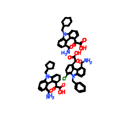 NC(=O)c1cccc2c1c1c(C(=O)C(=O)O)ccc(Cl)c1n2Cc1ccccc1.NC(=O)c1cccc2c1c1c(C(=O)C(=O)O)cccc1n2CC1CCCC1.NC(=O)c1cccc2c1c1c(C(=O)C(=O)O)cccc1n2CC1CCCCC1